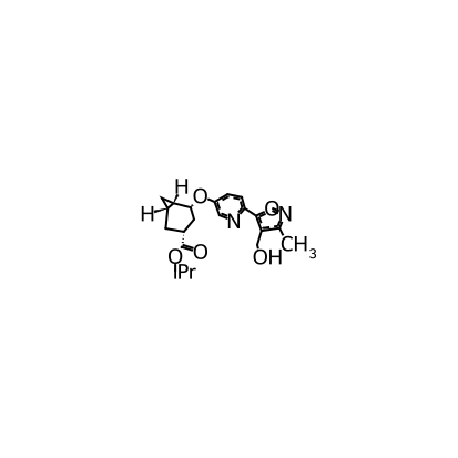 Cc1noc(-c2ccc(O[C@@H]3C[C@H](C(=O)OC(C)C)C[C@@H]4C[C@@H]43)cn2)c1CO